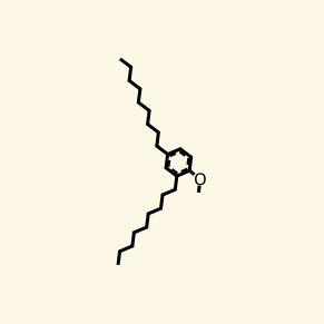 CCCCCCCCCc1ccc(OC)c(CCCCCCCCC)c1